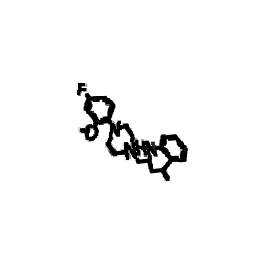 COc1cc(F)ccc1N1CCN(CC2CC(C)c3ccccc3N2)CC1